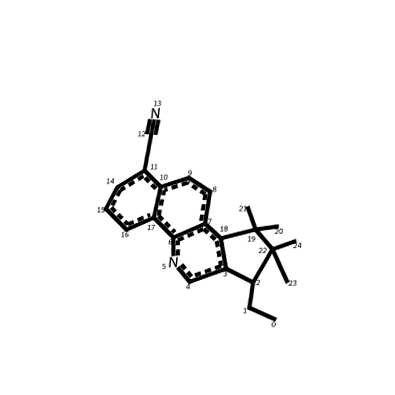 CCC1c2cnc3c(ccc4c(C#N)cccc43)c2C(C)(C)C1(C)C